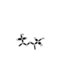 CCCS(=O)(=O)N(C)SSN(C)S(=O)(=O)CCC